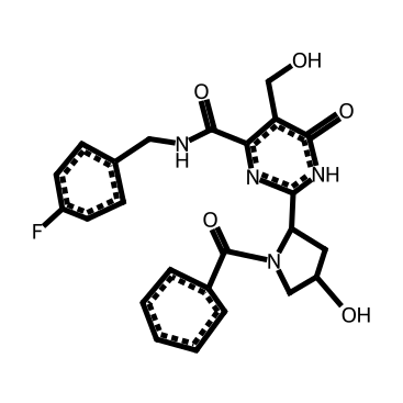 O=C(NCc1ccc(F)cc1)c1nc(C2CC(O)CN2C(=O)c2ccccc2)[nH]c(=O)c1CO